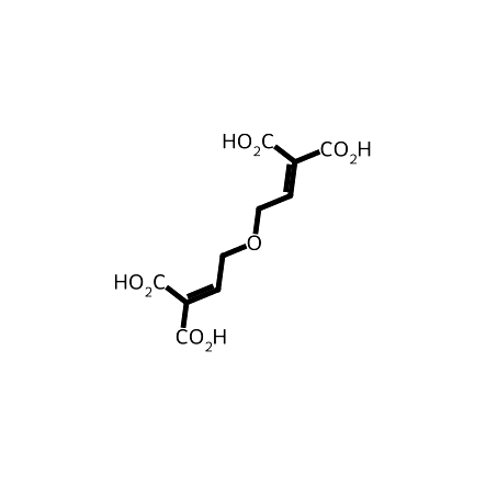 O=C(O)C(=CCOCC=C(C(=O)O)C(=O)O)C(=O)O